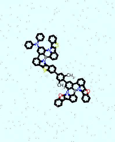 Cc1cc(-c2ccc3c(c2)sc2c4cccc5c4n(c32)B2c3c-5cc(N(c4ccccc4)c4ccccc4)cc3-n3c4c2cccc4c2sc4ccccc4c23)cc(C)c1-c1cc2c3c(c1)-n1c4oc5ccccc5c4c4cccc(c41)B3n1c3c-2cccc3c2oc3ccccc3c21